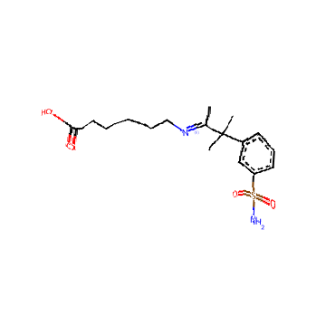 C/C(=N\CCCCCC(=O)O)C(C)(C)c1cccc(S(N)(=O)=O)c1